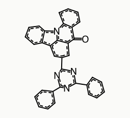 O=c1c2ccccc2n2c3ccccc3c3cc(-c4nc(-c5ccccc5)nc(-c5ccccc5)n4)cc1c32